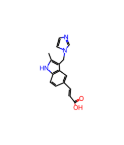 Cc1[nH]c2ccc(C=CC(=O)O)cc2c1Cn1ccnc1